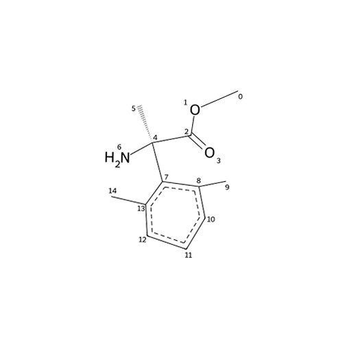 COC(=O)[C@](C)(N)c1c(C)cccc1C